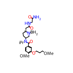 BN1CC(N(C(=O)c2ccc(OC)c(OCCCOC)c2)C(C)C)CC[C@H]1CC(=O)NCC(N)=O